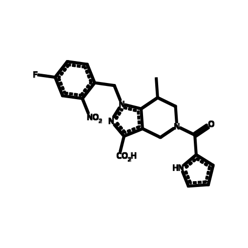 CC1CN(C(=O)c2ccc[nH]2)Cc2c(C(=O)O)nn(Cc3ccc(F)cc3[N+](=O)[O-])c21